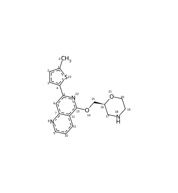 Cc1ccc(-c2cc3ncccc3c(OC[C@@H]3CNCCO3)n2)s1